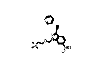 C#Cc1nn(COCC[Si](C)(C)C)c2cc([N+](=O)[O-])ccc12.c1ccncc1